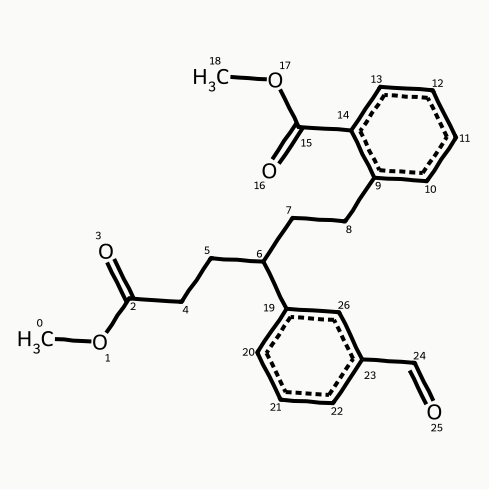 COC(=O)CCC(CCc1ccccc1C(=O)OC)c1cccc(C=O)c1